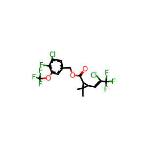 CC1(C)C(C=C(Cl)C(F)(F)F)C1C(=O)OCc1cc(Cl)c(F)c(OC(F)(F)F)c1